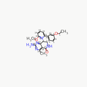 CCOc1ccc([C@H]2Cc3nc(N)nc(C)c3C(=O)N2)c(-c2cccc(OC)n2)c1